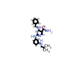 CC(C)CNc1cccc(Nc2ncc(C(N)=O)c(NCc3ccccc3)n2)c1